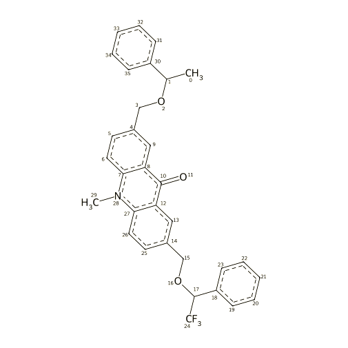 CC(OCc1ccc2c(c1)c(=O)c1cc(COC(c3ccccc3)C(F)(F)F)ccc1n2C)c1ccccc1